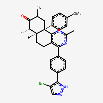 COc1ccc([C@@]23CC(C#N)C(=O)[C@@H](C)[C@@H]2CCc2c(-c4ccc(-c5[nH]ncc5Br)cc4)nc(C)nc23)cc1